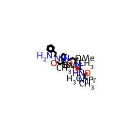 CCC(C)C(C(CC(=O)N1CCCC1C(OC)C(C)C(=O)NCCc1ccccc1N)OC)N(C)C(=O)CNC(=O)C(C(C)C)N(C)C